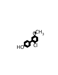 COc1ccc(Cl)c(-c2ccc(O)cc2)c1